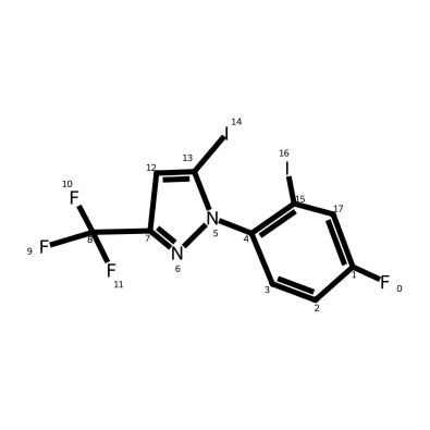 Fc1ccc(-n2nc(C(F)(F)F)cc2I)c(I)c1